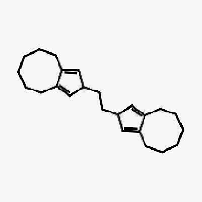 C1=C2CCCCCCC2=CC1CCC1C=C2CCCCCCC2=C1